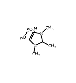 CC1N(C)C=CN1C.O=S(=O)(O)O